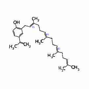 C=C(C)c1ccc(O)c(C/C=C(\C)CC/C=C(\C)CC/C=C(\C)CCC=C(C)C)c1